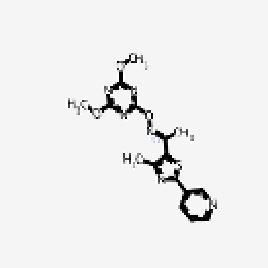 COc1nc(OC)nc(O/N=C(\C)c2sc(-c3cccnc3)nc2C)n1